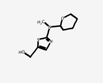 CN(c1ncc(CO)s1)C1CCCCO1